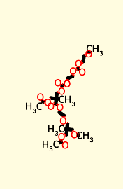 COCCOC(=O)OCCOC(=O)OCC(C)(COC(C)=O)C(=O)OCCOCC(C)(COC)COC(C)=O